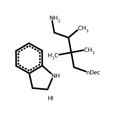 CCCCCCCCCCCC(C)(C)C(C)CN.I.c1ccc2c(c1)CCN2